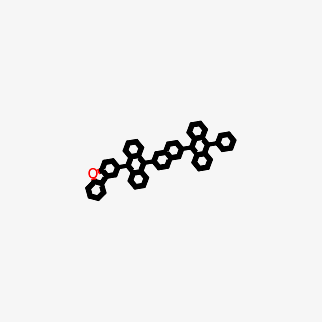 c1ccc(-c2c3ccccc3c(-c3ccc4cc(-c5c6ccccc6c(-c6ccc7oc8ccccc8c7c6)c6ccccc56)ccc4c3)c3ccccc23)cc1